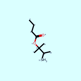 CCCC(=O)OC(C)(C)C(C)[SiH3]